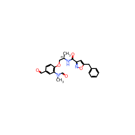 C[C@H](COc1ccc(C=O)cc1N(C)C=O)NC(=O)c1cc(Cc2ccccc2)on1